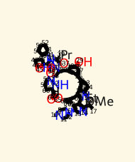 CCn1c(-c2cc(N3CCN(C)CC3)cnc2[C@H](C)OC)c2c3cc(ccc31)-c1cc(O)cc(c1)C[C@H](NC(=O)[C@H](C(C)C)N(C)C(=O)[C@@H]1OCC[C@@H]1c1ccccc1)C(=O)N1CCC[C@H](N1)C(=O)OCC(C)(C)C2